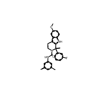 COc1ccc2[nH]c3c(c2c1)CCN(C(=O)Nc1cc(C)cc(C)c1)C3(C)c1cccc(F)c1